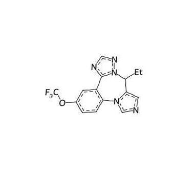 CCC1c2cncn2-c2ccc(OC(F)(F)F)cc2-c2ncnn21